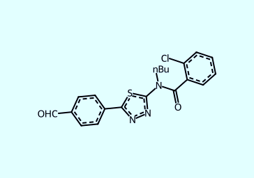 CCCCN(C(=O)c1ccccc1Cl)c1nnc(-c2ccc(C=O)cc2)s1